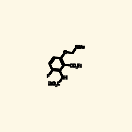 CCOC(=O)Nc1c(F)ccc(OCOC)c1C(=O)OCC